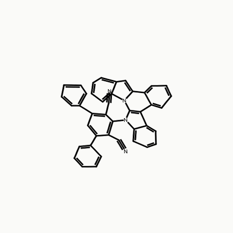 N#Cc1c(-c2ccccc2)cc(-c2ccccc2)c(C#N)c1-n1c2ccccc2c2c3ccccc3c3cc4ccccc4n3c21